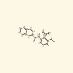 CCc1ncnc(NC(C)c2ccc3ccccc3c2)c1[N+](=O)[O-]